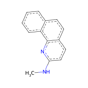 CNc1ccc2ccc3ccccc3c2n1